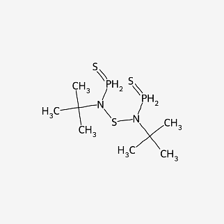 CC(C)(C)N([PH2]=S)SN([PH2]=S)C(C)(C)C